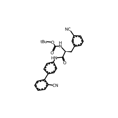 CC(C)(C)OC(=O)N[C@@H](Cc1cccc(C#N)c1)C(=O)Nc1ccc(-c2ccccc2C#N)cc1